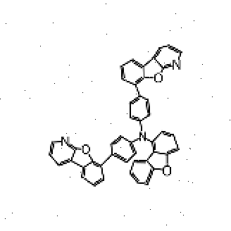 c1ccc2c(c1)oc1cccc(N(c3ccc(-c4cccc5c4oc4ncccc45)cc3)c3ccc(-c4cccc5c4oc4ncccc45)cc3)c12